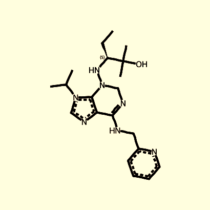 CC[C@H](NN1CN=C(NCc2ccccn2)c2ncn(C(C)C)c21)C(C)(C)O